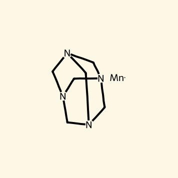 C1N2CN3CN1CN(C2)C3.[Mn]